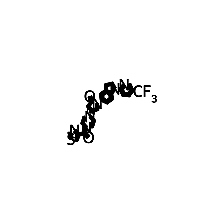 O=C(c1cscn1)N1CCN([C@@H]2CC(=O)N(c3ccc4c(c3)CCN4c3ccc(C(F)(F)F)cn3)C2)CC1